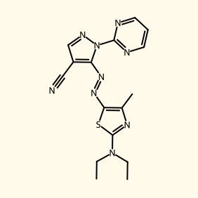 CCN(CC)c1nc(C)c(/N=N/c2c(C#N)cnn2-c2ncccn2)s1